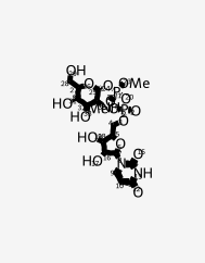 COP(=O)(OCC1OC(n2ccc(=O)[nH]c2=O)C(O)C1O)OP(=O)(OC)O[C@H]1OC(CO)[C@H](O)C(O)C1N